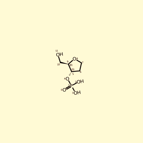 O=P(O)(O)O[C@H]1C[CH]O[C@@H]1CO